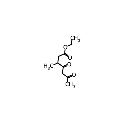 CCOC(=O)CC(C)C(=O)CC(C)=O